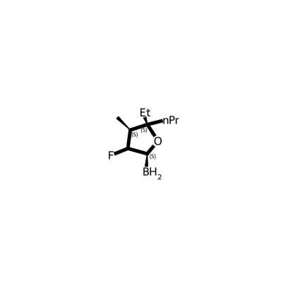 B[C@@H]1O[C@@](CC)(CCC)[C@H](C)C1F